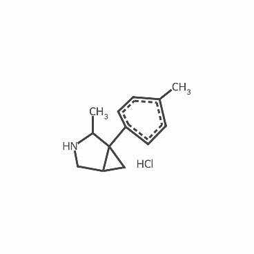 Cc1ccc(C23CC2CNC3C)cc1.Cl